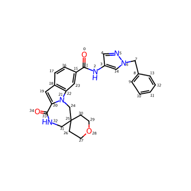 O=C(Nc1cnn(Cc2ccccc2)c1)c1ccc2cc3n(c2c1)CC1(CCOCC1)CNC3=O